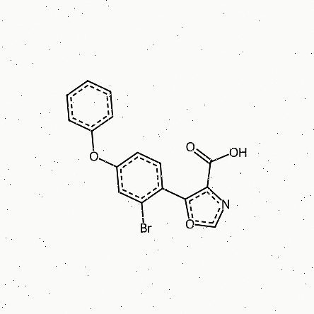 O=C(O)c1ncoc1-c1ccc(Oc2ccccc2)cc1Br